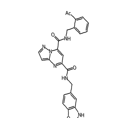 CC(=O)c1ccccc1CNC(=O)c1cc(C(=O)NCc2ccc3oc(=O)[nH]c3c2)nc2ccnn12